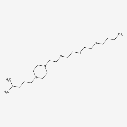 CCCCOCCOCCOCCN1CCN(CCCC(C)C)CC1